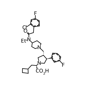 CCN(C(=O)Cc1ccc(F)cc1Cl)C1CCN(C[C@H]2CN([C@H](CC3CCC3)C(=O)O)C[C@@H]2c2cccc(F)c2)CC1